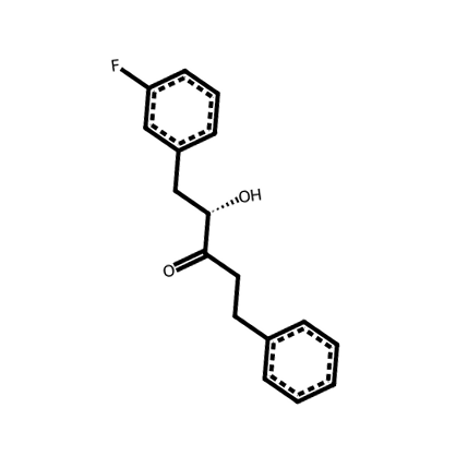 O=C(CCc1ccccc1)[C@@H](O)Cc1cccc(F)c1